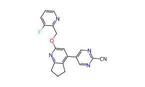 N#Cc1ncc(-c2cc(OCc3ncccc3F)nc3c2CCC3)cn1